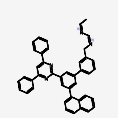 C/C=N\C=N/Cc1cccc(-c2cc(-c3nc(-c4ccccc4)cc(-c4ccccc4)n3)cc(-c3cccc4ccccc34)c2)c1